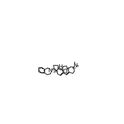 CN(C)[C@H]1CCC2=CC3=CC[C@]4(C)[C@@H](N5CCc6ccccc6C5)CC[C@H]4[C@@]34CC[C@]2(C1)O4